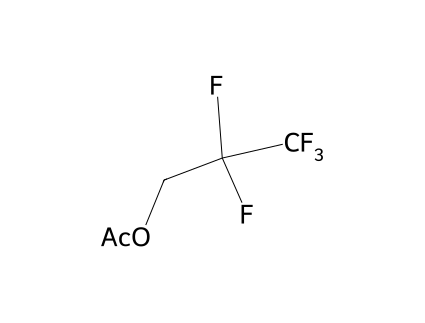 CC(=O)OCC(F)(F)C(F)(F)F